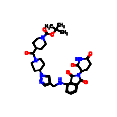 CC(C)(C)OC(=O)N1CCC(C(=O)N2CCC(n3cc(CNc4cccc5c4C(=O)N(C4CCC(=O)NC4=O)C5=O)cn3)CC2)CC1